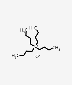 CCCC[N+](CCCC)(CCCC)CCCC.[O-]